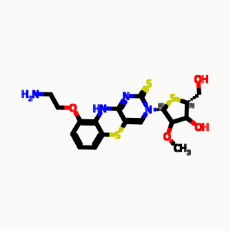 COC1C(O)[C@@H](CO)S[C@H]1n1cc2c(nc1=S)Nc1c(OCCN)cccc1S2